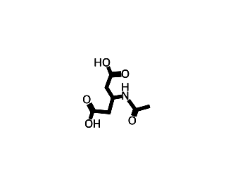 CC(=O)NC(CC(=O)O)CC(=O)O